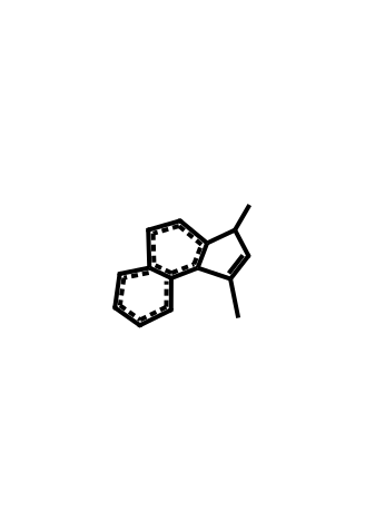 CC1=CC(C)c2ccc3ccccc3c21